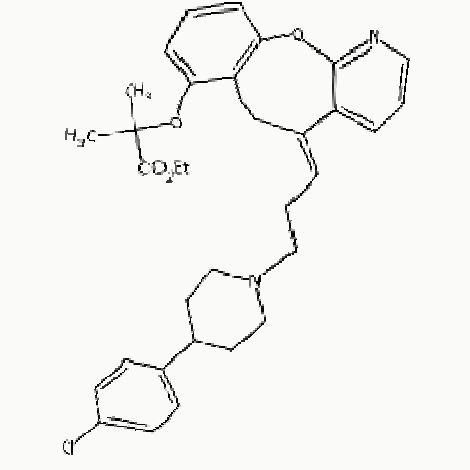 CCOC(=O)C(C)(C)Oc1cccc2c1CC(=CCCN1CCC(c3ccc(Cl)cc3)CC1)c1cccnc1O2